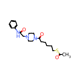 CC(=O)SCCCCCC(=O)N1CCN(CC(=O)Nc2ccccc2)CC1